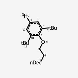 [3H]c1cc(C(C)(C)C)c(OCCCCCCCCCCCC)c(C(C)(C)C)c1